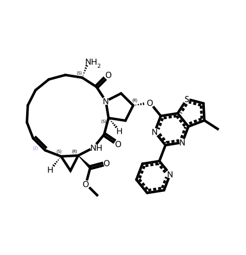 COC(=O)[C@@]12C[C@H]1/C=C\CCCCC[C@H](N)C(=O)N1C[C@H](Oc3nc(-c4ccccn4)nc4c(C)csc34)C[C@H]1C(=O)N2